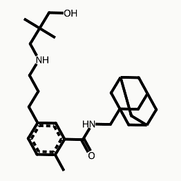 Cc1ccc(CCCNCC(C)(C)CO)cc1C(=O)NCC12CC3CC(CC(C3)C1)C2